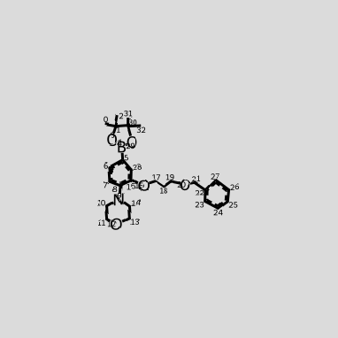 CC1(C)OB(c2ccc(N3CCOCC3)c(OCCCOCc3ccccc3)c2)OC1(C)C